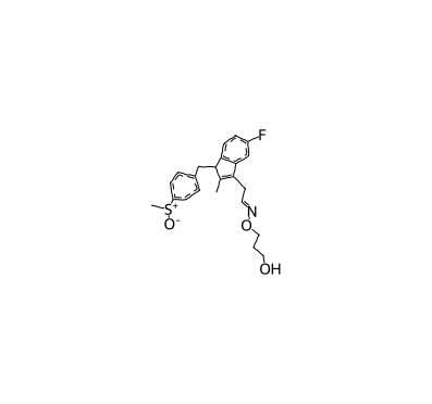 CC1=C(CC=NOCCCO)c2cc(F)ccc2C1Cc1ccc([S+](C)[O-])cc1